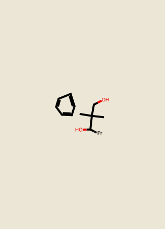 CC(C)C(O)C(C)(C)CO.c1ccccc1